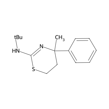 CC(C)(C)NC1=NC(C)(c2ccccc2)CCS1